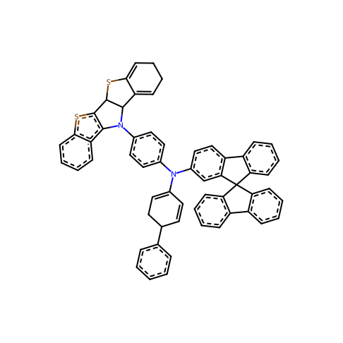 C1=CC(c2ccccc2)CC=C1N(c1ccc(N2c3c(sc4ccccc34)C3SC4=CCCC=C4C32)cc1)c1ccc2c(c1)C1(c3ccccc3-c3ccccc31)c1ccccc1-2